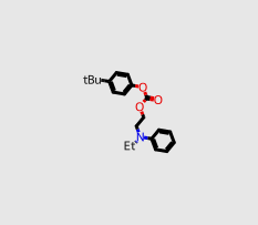 CCN(CCOC(=O)Oc1ccc(C(C)(C)C)cc1)c1ccccc1